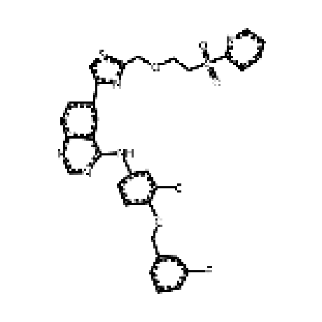 O=S(=O)(CCOCc1nc(-c2ccc3ncnc(Nc4ccc(OCc5cccc(F)c5)c(Cl)c4)c3c2)cs1)c1ccccn1